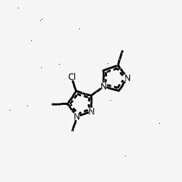 Cc1cn(-c2nn(C)c(C)c2Cl)cn1